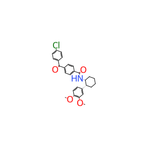 COc1ccc([C@H]2CCCC[C@H]2NC(=O)c2ccc(C(=O)c3ccc(Cl)cc3)cc2)cc1OC